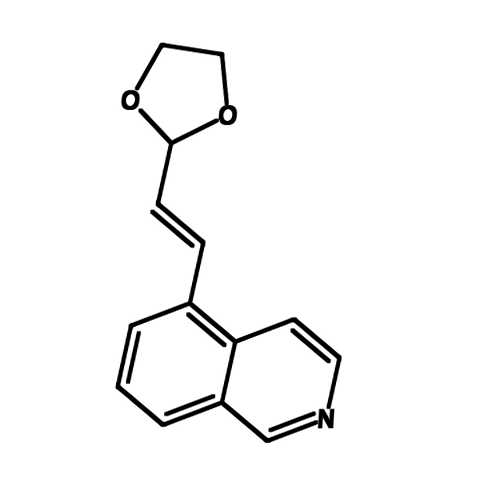 C(=CC1OCCO1)c1cccc2cnccc12